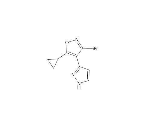 CC(C)c1noc(C2CC2)c1-c1cc[nH]n1